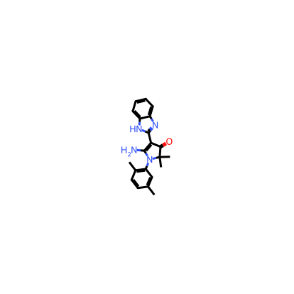 Cc1ccc(C)c(N2C(N)=C(c3nc4ccccc4[nH]3)C(=O)C2(C)C)c1